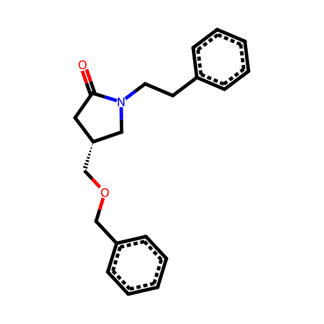 O=C1C[C@@H](COCc2ccccc2)CN1CCc1ccccc1